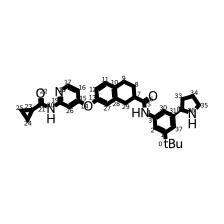 CC(C)(C)c1cc(NC(=O)C2CCc3ccc(Oc4ccnc(NC(=O)C5CC5)c4)cc3C2)cc([C@H]2CCCN2)c1